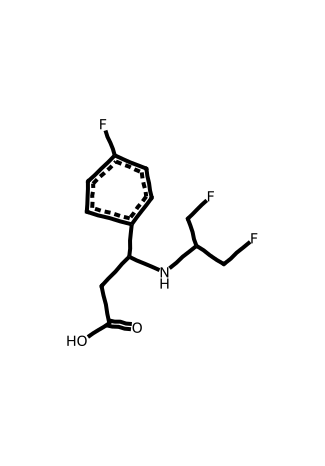 O=C(O)CC(NC(CF)CF)c1ccc(F)cc1